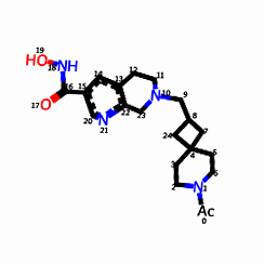 CC(=O)N1CCC2(CC1)CC(CN1CCc3cc(C(=O)NO)cnc3C1)C2